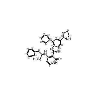 O=c1[nH]ccc(NC(CO)Cc2ccccc2)c1-c1nc2c(-c3ccccc3)cc(C3=NCCN3)cc2[nH]1